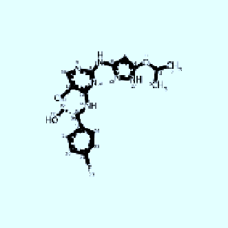 CC(C)Oc1cc(Nc2ncc(Cl)c(N[C@@H](CO)c3ccc(F)cc3)n2)n[nH]1